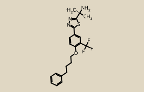 [CH2][C@@](C)(N)c1nnc(-c2ccc(OCCCCc3ccccc3)c(C(F)(F)F)c2)s1